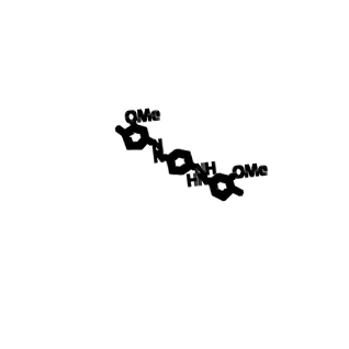 COc1cc(N=Nc2ccc(NNc3ccc(C)c(OC)c3)cc2)ccc1C